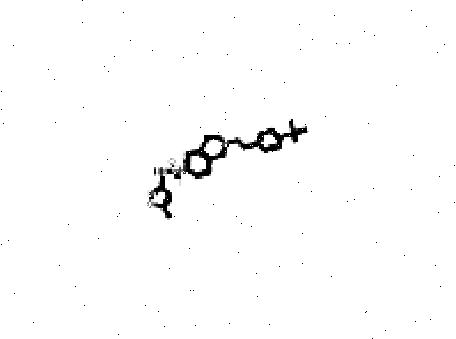 Cc1cc(N[SH](=O)(I)c2ccc3c(c2)CCN(CCc2ccc(C(C)(C)C)cc2)C3)no1